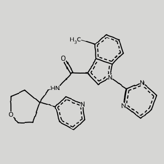 Cc1cccc2c1c(C(=O)NCC1(c3cccnc3)CCOCC1)cn2-c1ncccn1